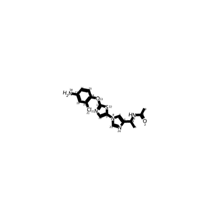 CC(=O)NC(C)c1cn(-c2cnc(Oc3ccc(N)cc3Cl)s2)cn1